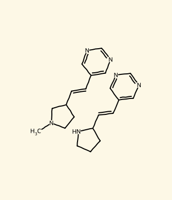 C(=CC1CCCN1)c1cncnc1.CN1CCC(C=Cc2cncnc2)C1